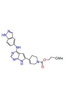 COCCOC(=O)N1CC=C(c2cc3c(Nc4ccc5[nH]ncc5c4)ncnc3[nH]2)CC1